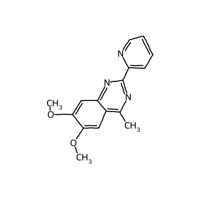 COc1cc2nc(-c3ccccn3)nc(C)c2cc1OC